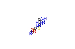 CN1CCN(S(=O)(=O)c2ccc(NC(=S)N3CCN(c4ncnc5[nH]c6ccccc6c45)CC3)cc2)CC1